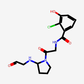 O=CCNC1CCCN1C(=O)CNC(=O)c1cccc(O)c1Cl